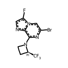 Fc1cnc2c(N3CC[C@@H]3C(F)(F)F)nc(Br)cn12